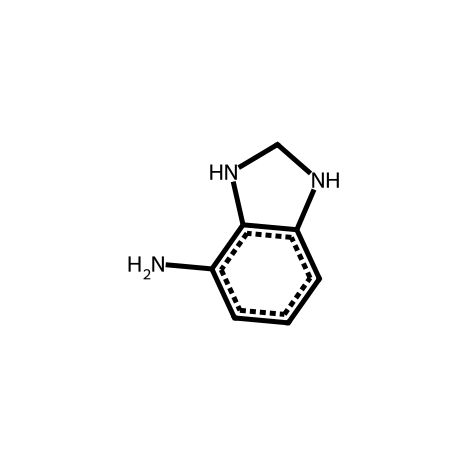 Nc1cccc2c1NCN2